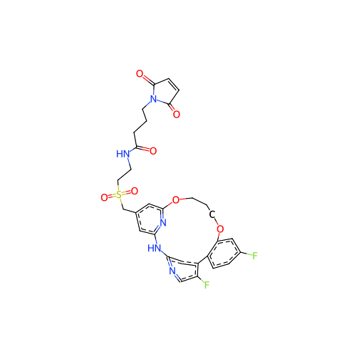 O=C(CCCN1C(=O)C=CC1=O)NCCS(=O)(=O)Cc1cc2nc(c1)OCCCOc1cc(F)ccc1-c1cc(ncc1F)N2